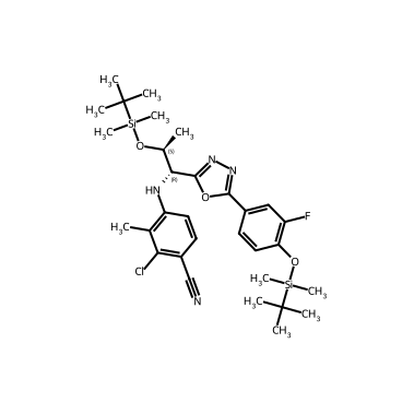 Cc1c(N[C@@H](c2nnc(-c3ccc(O[Si](C)(C)C(C)(C)C)c(F)c3)o2)[C@H](C)O[Si](C)(C)C(C)(C)C)ccc(C#N)c1Cl